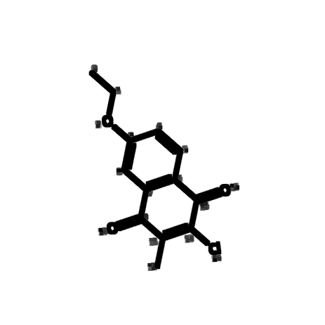 CCOc1ccc2c(c1)C(=O)C(C)=C(Cl)C2=O